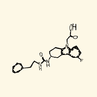 O=C(O)Cn1c2c(c3cc(F)ccc31)C[C@@H](NC(=O)NCCc1ccccc1)CC2